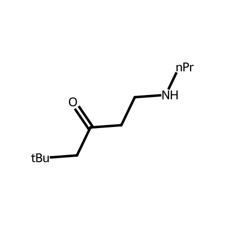 CCCNCCC(=O)CC(C)(C)C